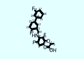 CC(Oc1ccc(F)c(NCc2cc(-c3cccc(F)c3)ccc2F)c1F)C(=O)O